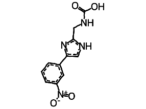 O=C(O)NCc1nc(-c2cccc([N+](=O)[O-])c2)c[nH]1